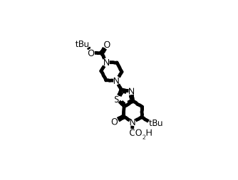 CC(C)(C)OC(=O)N1CCN(c2nc3c(s2)C(=O)N(C(=O)O)C(C(C)(C)C)C3)CC1